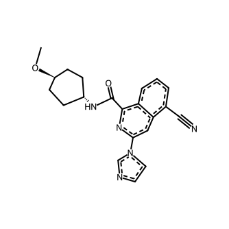 CO[C@H]1CC[C@H](NC(=O)c2nc(-n3ccnc3)cc3c(C#N)cccc23)CC1